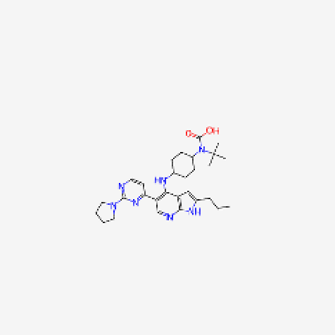 CCCc1cc2c(NC3CCC(N(C(=O)O)C(C)(C)C)CC3)c(-c3ccnc(N4CCCC4)n3)cnc2[nH]1